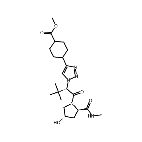 CNC(=O)[C@H]1C[C@H](O)CN1C(=O)[C@@H](n1cc(C2CCC(C(=O)OC)CC2)nn1)C(C)(C)C